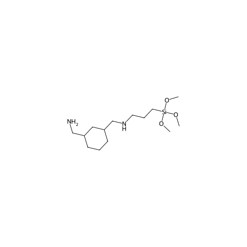 CO[Si](CCCNCC1CCCC(CN)C1)(OC)OC